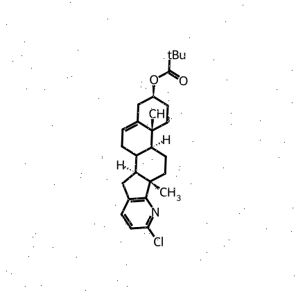 CC(C)(C)C(=O)O[C@H]1CC[C@@]2(C)C(=CCC3[C@@H]2CC[C@]2(C)c4nc(Cl)ccc4C[C@@H]32)C1